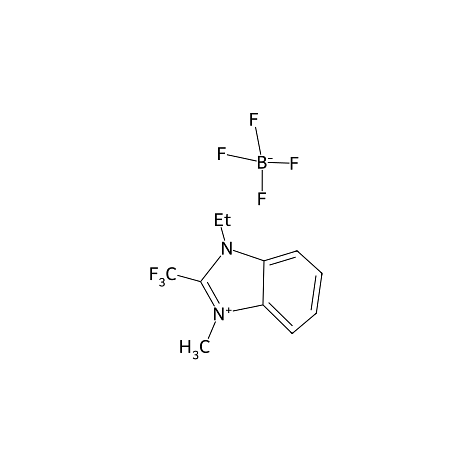 CCn1c(C(F)(F)F)[n+](C)c2ccccc21.F[B-](F)(F)F